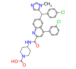 Cn1cncc1C(c1ccc(Cl)cc1)c1ccc2nc(C(=O)NC3CCN(C(=O)O)CC3)cc(-c3cccc(Cl)c3)c2c1